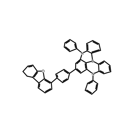 C1=Cc2oc3c(-c4ccc(-c5cc6c7c(c5)N(c5ccccc5)c5ccccc5B7c5ccccc5N6c5ccccc5)cc4)cccc3c2CC1